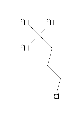 [2H]C([2H])([2H])CCCCl